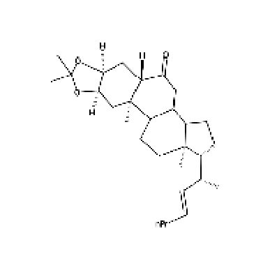 CCC/C=C/[C@@H](C)[C@H]1CCC2C3CC(=O)[C@H]4C[C@@H]5OC(C)(C)O[C@@H]5C[C@]4(C)C3CC[C@@]21C